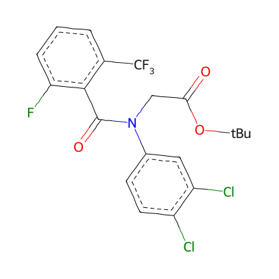 CC(C)(C)OC(=O)CN(C(=O)c1c(F)cccc1C(F)(F)F)c1ccc(Cl)c(Cl)c1